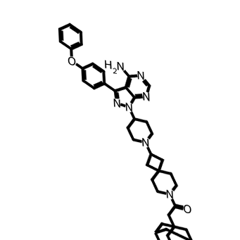 Nc1ncnc2c1c(-c1ccc(Oc3ccccc3)cc1)nn2C1CCN(C2CC3(CCN(C(=O)CC45CC6CC(CC(C6)C4)C5)CC3)C2)CC1